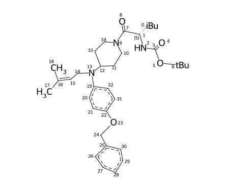 CCC(C)[C@H](NC(=O)OC(C)(C)C)C(=O)N1CCC(N(CC=C(C)C)c2ccc(OCc3ccccc3)cc2)CC1